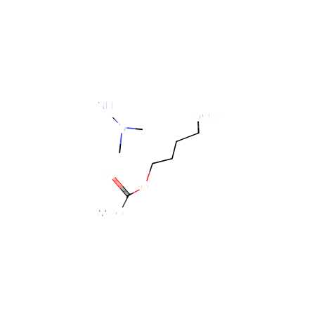 CCCCCCCCCCCCOC(=O)OC.CN(C)C.N